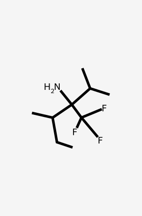 CCC(C)C(N)(C(C)C)C(F)(F)F